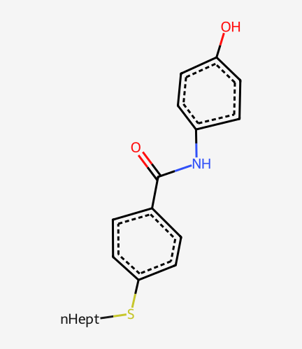 CCCCCCCSc1ccc(C(=O)Nc2ccc(O)cc2)cc1